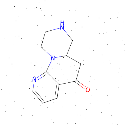 O=C1CC2CNCCN2c2ncccc21